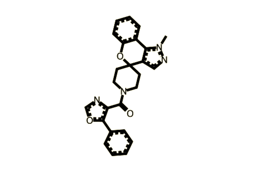 Cn1ncc2c1-c1ccccc1OC21CCN(C(=O)c2ncoc2-c2ccccc2)CC1